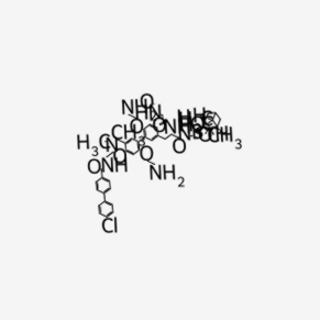 CC(c1ccc(OCCN)c(-c2cc(CC(NC(=O)CNC=O)C(=O)NCB3O[C@@H]4CC5C[C@@H](C5(C)C)[C@]4(C)O3)ccc2OCCN)c1)N(C)C(=O)CNC(=O)c1ccc(-c2ccc(Cl)cc2)cc1